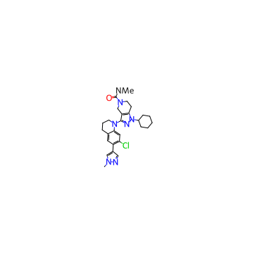 CNC(=O)N1CCc2c(c(N3CCCc4cc(-c5cnn(C)c5)c(Cl)cc43)nn2C2CCCCC2)C1